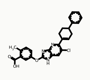 Cc1ccc(Oc2nc3nc(C4=CCC(c5ccccc5)CC4)c(Cl)cc3[nH]2)cc1C(=O)O